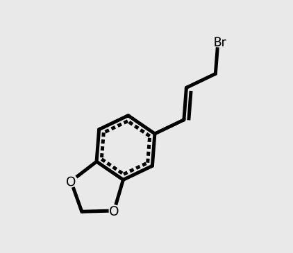 BrC/C=C/c1ccc2c(c1)OCO2